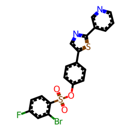 O=S(=O)(Oc1ccc(-c2cnc(-c3cccnc3)s2)cc1)c1ccc(F)cc1Br